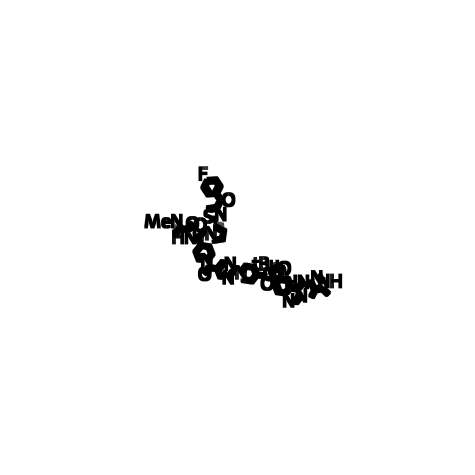 CN[C@@H](C)C(=O)N[C@H](C(=O)N1CCC[C@H]1c1nc(C(=O)c2ccc(F)cc2)cs1)C1CCN(C(=O)c2cnc(N3CCC(COc4cc5ncnc(Nc6n[nH]c(C)c6C)c5cc4S(=O)(=O)C(C)(C)C)CC3)nc2)CC1